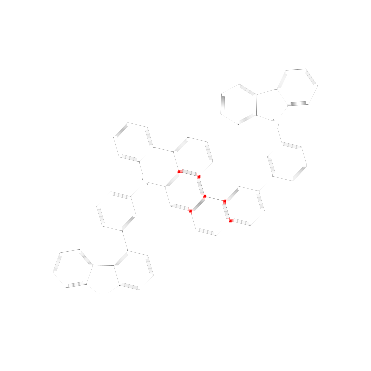 c1ccc(-c2cccc(-c3ccccc3N(c3ccc(-c4cccc(-c5cccc(-n6c7ccccc7c7ccccc76)c5)c4)cc3)c3cccc(-c4cccc5oc6ccccc6c45)c3)c2)cc1